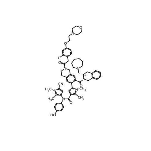 Cc1c(N(C(=O)c2cc(-c3cc4c(cc3C(=O)N3Cc5ccccc5C[C@H]3CN3CCCCCC3)CN(C(=O)Cc3ccc(OCCN5CCOCC5)cc3F)CC4)n(C)c2C)c2ccc(O)cc2)cc(C#N)n1C